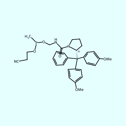 COc1ccc(C(c2ccccc2)(c2ccc(OC)cc2)[C@H]2CCCN2C(=O)NCOP(C)OCCC#N)cc1